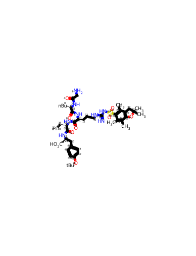 CCCC[C@H](NC(=O)CN)C(=O)N[C@@H](CCCNC(=N)NS(=O)(=O)c1c(C)c(C)c2c(c1C)CC(C)(C)O2)C(=O)N[C@@H](CC(C)C)C(=O)N[C@@H](Cc1ccc(OC(C)(C)C)cc1)C(=O)O